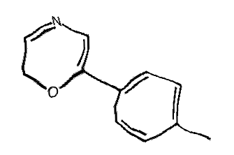 Cc1ccc(C2=CN=CCO2)cc1